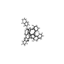 C1=Cc2ccc(-c3ccc(-c4nc5ccccc5nc4-n4c5ccc6ccccc6c5c5c6ccccc6ccc54)cc3)cc2CC1